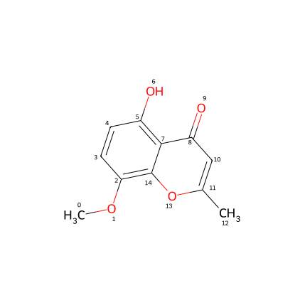 COc1ccc(O)c2c(=O)cc(C)oc12